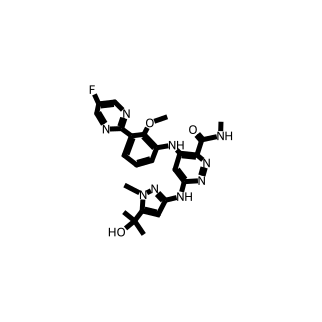 CNC(=O)c1nnc(Nc2cc(C(C)(C)O)n(C)n2)cc1Nc1cccc(-c2ncc(F)cn2)c1OC